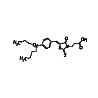 CCCCN(CCCC)c1ccc(/C=C2\SC(=S)N(CCC(=O)O)C2=O)cc1